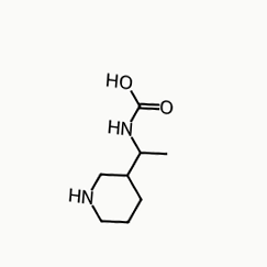 CC(NC(=O)O)C1CCCNC1